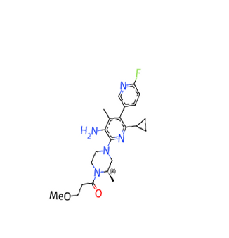 COCCC(=O)N1CCN(c2nc(C3CC3)c(-c3ccc(F)nc3)c(C)c2N)C[C@H]1C